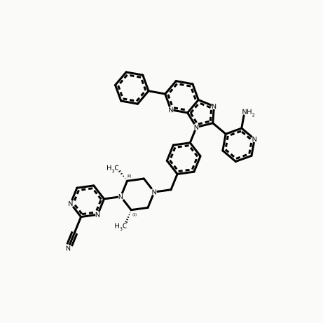 C[C@@H]1CN(Cc2ccc(-n3c(-c4cccnc4N)nc4ccc(-c5ccccc5)nc43)cc2)C[C@H](C)N1c1ccnc(C#N)n1